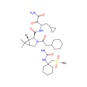 CC1(C)C2CN(C(=O)[C@@H](NC(=O)NC3(CS(=O)(=O)C(C)(C)C)CCCCC3)C3CCCCC3)[C@H](C(=O)NC(CC3CC3)C(=O)C(N)=O)[C@H]21